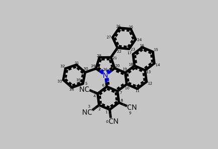 N#Cc1c(C#N)c(C#N)c2c(c1C#N)c1ccc3ccccc3c1c1c(-c3ccccc3)cc(-c3ccccc3)n21